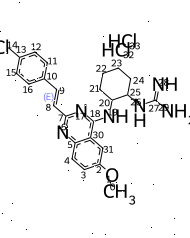 COc1ccc2nc(/C=C/c3ccc(Cl)cc3)nc(NC3CCCCC3NC(=N)N)c2c1.Cl.Cl